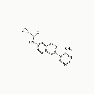 Cc1ncncc1-c1ccc2cc(NC(=O)C3CC3)ncc2c1